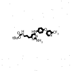 CC(C)(C)OC(=O)NCCCc1cc(Nc2ccc(Oc3ccnc(C(F)(F)F)c3)cc2)nc(N)n1